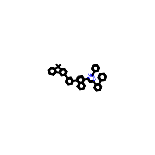 CC1(C)c2ccccc2-c2cc(-c3cccc(-c4ccc(-c5cc(-c6ccccc6-c6ccccc6)nc(-c6ccccc6)n5)c5ccccc45)c3)ccc21